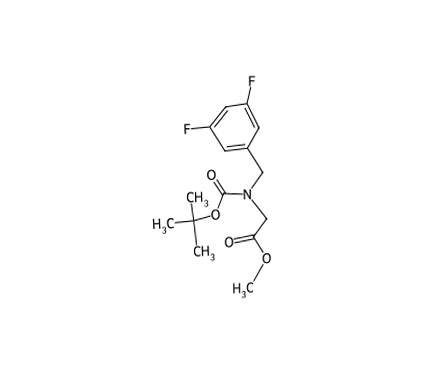 COC(=O)CN(Cc1cc(F)cc(F)c1)C(=O)OC(C)(C)C